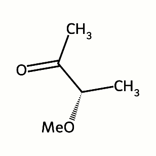 CO[C@@H](C)C(C)=O